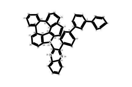 c1ccc(-c2cccc(-c3ccc(-c4nc5ccccc5nc4-n4c5cccc6c5c5c7c(cccc7ccc54)-c4ccccc4-6)cc3)c2)cc1